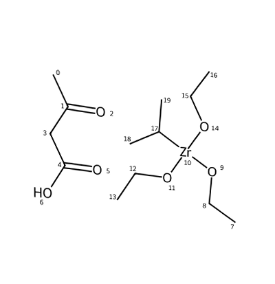 CC(=O)CC(=O)O.CC[O][Zr]([O]CC)([O]CC)[CH](C)C